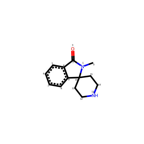 CN1C(=O)c2ccccc2C12CCNCC2